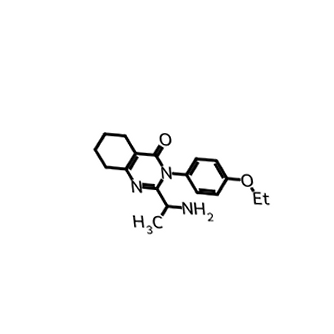 CCOc1ccc(-n2c(C(C)N)nc3c(c2=O)CCCC3)cc1